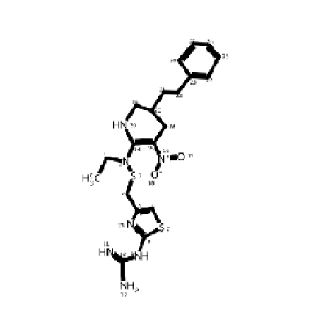 CCN(SCc1csc(NC(=N)N)n1)C1=C([N+](=O)[O-])CC(CCc2ccccc2)CN1